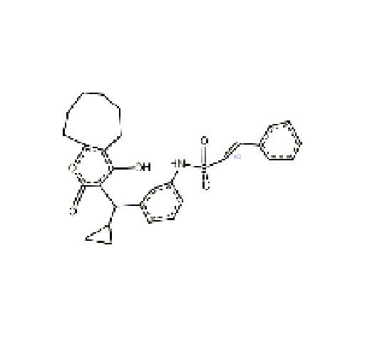 O=c1oc2c(c(O)c1C(c1cccc(NS(=O)(=O)/C=C/c3ccccc3)c1)C1CC1)CCCCCC2